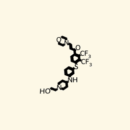 O=C(C=CN1CCOCC1)c1ccc(Sc2cccc(NC3CCN(CCO)CC3)c2)c(C(F)(F)F)c1C(F)(F)F